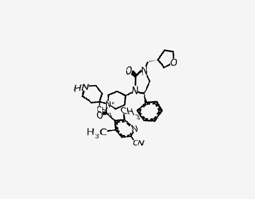 Cc1cc(C#N)nc(C)c1C(=O)[N+]1(C2(C)CCNCC2)CCC(N2C(=O)N(C[C@@H]3CCOC3)C[C@H]2c2ccccc2)CC1